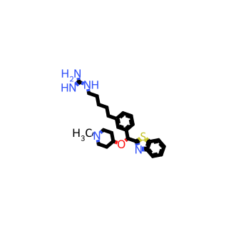 CN1CCC(OC(c2cccc(CCCCCNC(=N)N)c2)c2nc3ccccc3s2)CC1